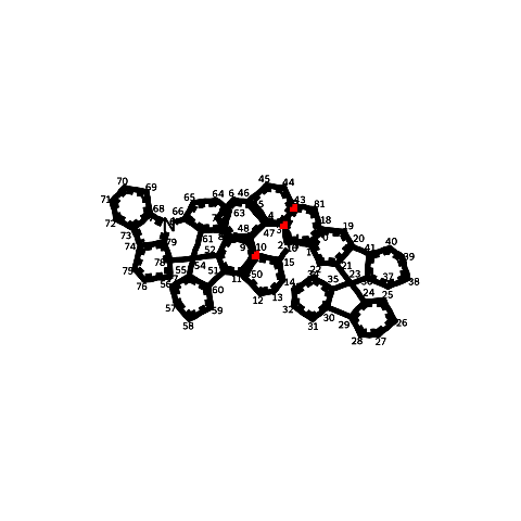 c1ccc(-c2ccccc2-c2ccccc2N(c2ccc3c(c2)C2(c4ccccc4-c4ccccc42)c2ccccc2-3)c2ccccc2-c2ccc3c(c2)C2(c4ccccc4-3)c3ccccc3-n3c4ccccc4c4cccc2c43)cc1